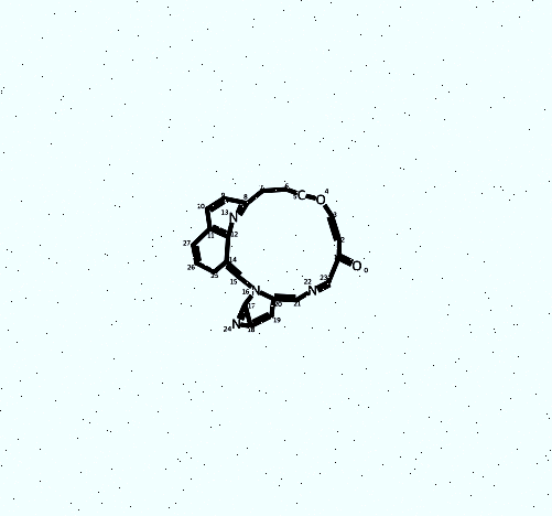 O=C1/C=C\OCCCc2ccc3c(n2)/C(=C\n2c4c(c/c2=C/N=C\1)N=4)CC=C3